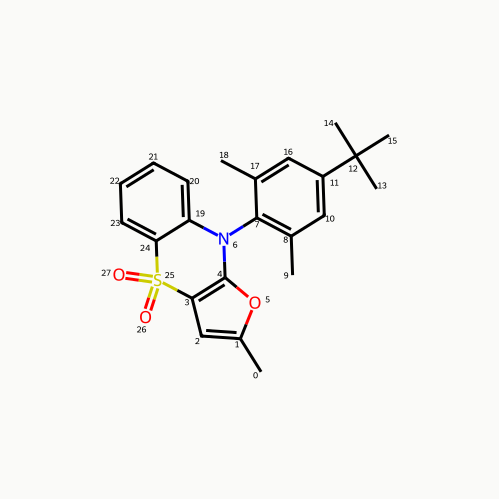 Cc1cc2c(o1)N(c1c(C)cc(C(C)(C)C)cc1C)c1ccccc1S2(=O)=O